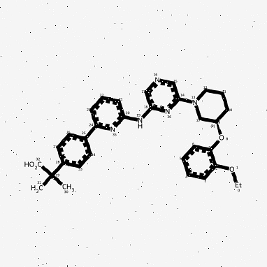 CCOc1ccccc1O[C@@H]1CCCN(c2cncc(Nc3cccc(-c4ccc(C(C)(C)C(=O)O)cc4)n3)n2)C1